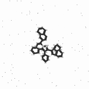 C1=C(c2nn3c(-c4ccc5ccccc5c4)cc4ccccc4c3c2-c2ccccc2)c2cccc3cccc1c23